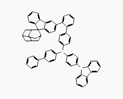 c1ccc(-c2ccc(N(c3ccc(-c4ccccc4-c4ccc5c(c4)-c4ccccc4C54C5CC6CC(C5)CC4C6)cc3)c3ccc(-n4c5ccccc5c5ccccc54)cc3)cc2)cc1